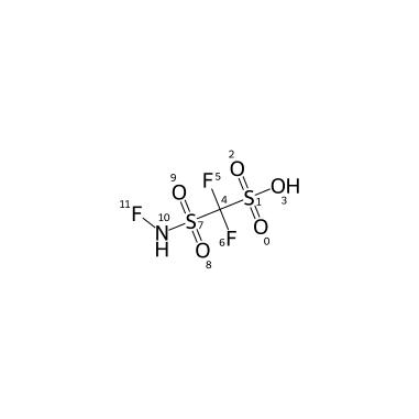 O=S(=O)(O)C(F)(F)S(=O)(=O)NF